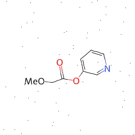 COCC(=O)Oc1cccnc1